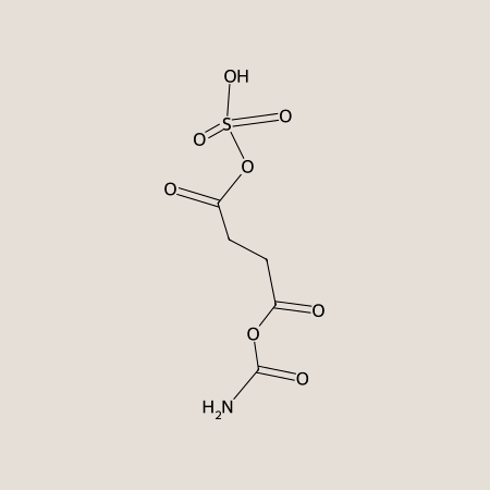 NC(=O)OC(=O)CCC(=O)OS(=O)(=O)O